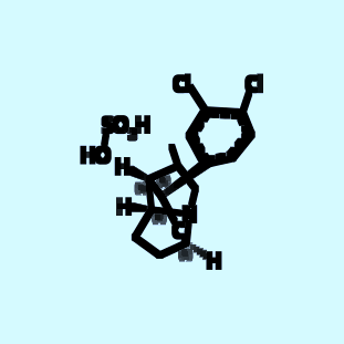 CC1CN2[C@H]3CC[C@@H]2[C@H]1[C@@H](c1ccc(Cl)c(Cl)c1)C3.O=S(=O)(O)O